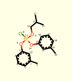 Cc1cccc(O[PH](Cl)(OCC(C)C)Oc2cccc(C)c2)c1